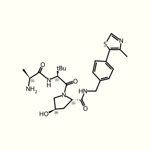 Cc1ncsc1-c1ccc(CNC(=O)[C@@H]2C[C@@H](O)CN2C(=O)[C@@H](NC(=O)[C@H](C)N)C(C)(C)C)cc1